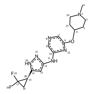 CN1CCC(Oc2cncc(Nc3cc([C@H]4CC4(F)F)[nH]n3)n2)CC1